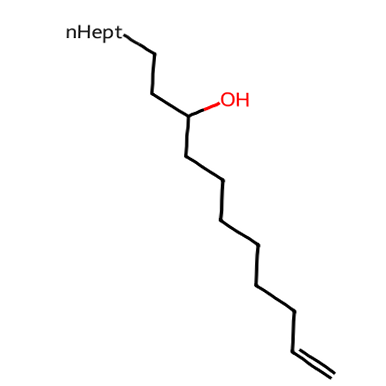 C=CCCCCCCC(O)CCCCCCCCC